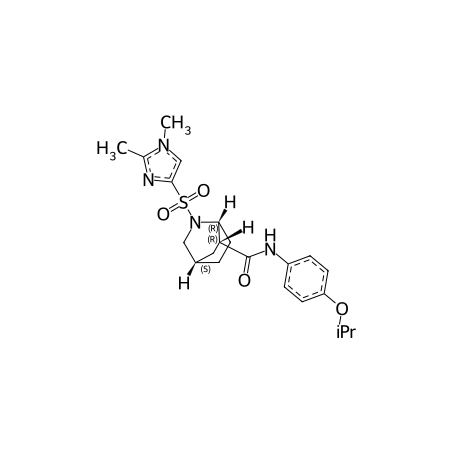 Cc1nc(S(=O)(=O)N2C[C@H]3CC[C@@H]2[C@H](C(=O)Nc2ccc(OC(C)C)cc2)C3)cn1C